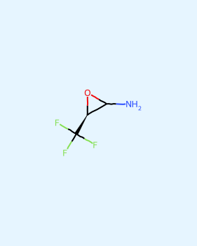 NC1O[C@@H]1C(F)(F)F